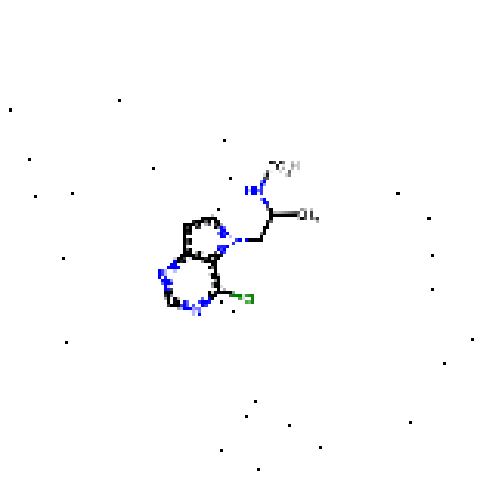 CC(Cn1ccc2ncnc(Cl)c21)NC(=O)O